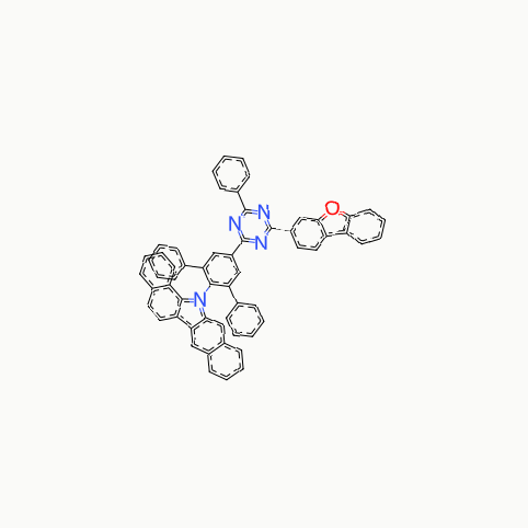 c1ccc(-c2nc(-c3cc(-c4ccccc4)c(-n4c5cc6ccccc6cc5c5ccc6ccccc6c54)c(-c4ccccc4)c3)nc(-c3ccc4c(c3)oc3ccccc34)n2)cc1